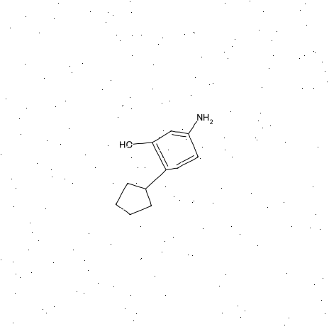 Nc1ccc(C2CCCC2)c(O)c1